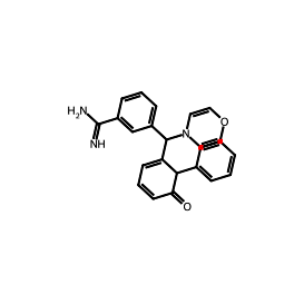 N=C(N)c1cccc(C(C2=CC=CC(=O)C2c2ccccc2)N2C=COC=C2)c1